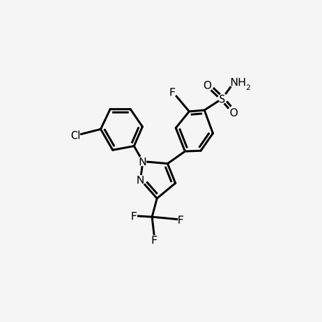 NS(=O)(=O)c1ccc(-c2cc(C(F)(F)F)nn2-c2cccc(Cl)c2)cc1F